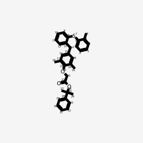 Cc1ccccc1Sc1ccccc1Cc1cc(C)c(OCC(=O)OC(C)(C)c2ccccc2)c(C)c1